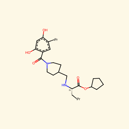 CC(C)C[C@H](NCC1CCN(C(=O)c2cc(C(C)C)c(O)cc2O)CC1)C(=O)OC1CCCC1